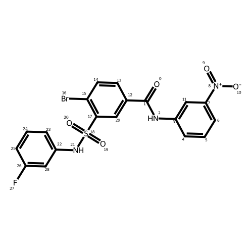 O=C(Nc1cccc([N+](=O)[O-])c1)c1ccc(Br)c(S(=O)(=O)Nc2cccc(F)c2)c1